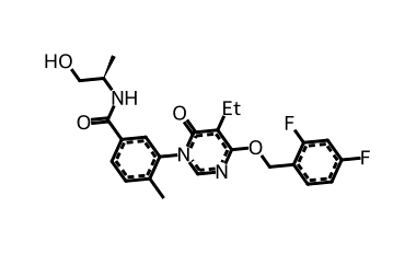 CCc1c(OCc2ccc(F)cc2F)ncn(-c2cc(C(=O)N[C@H](C)CO)ccc2C)c1=O